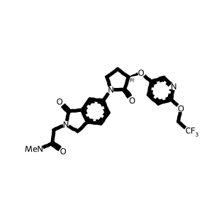 CNC(=O)CN1Cc2ccc(N3CC[C@@H](Oc4ccc(OCC(F)(F)F)nc4)C3=O)cc2C1=O